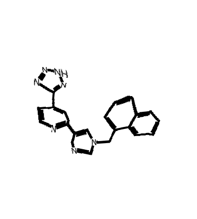 c1ccc2c(Cn3cnc(-c4cc(-c5nn[nH]n5)ccn4)c3)cccc2c1